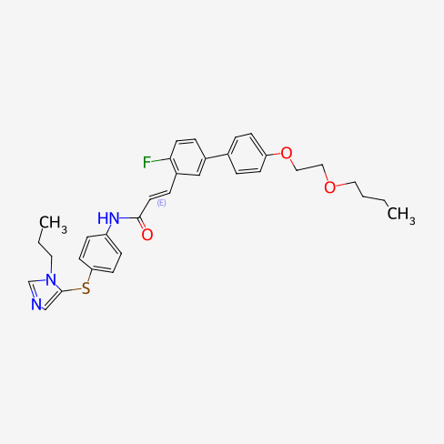 CCCCOCCOc1ccc(-c2ccc(F)c(/C=C/C(=O)Nc3ccc(Sc4cncn4CCC)cc3)c2)cc1